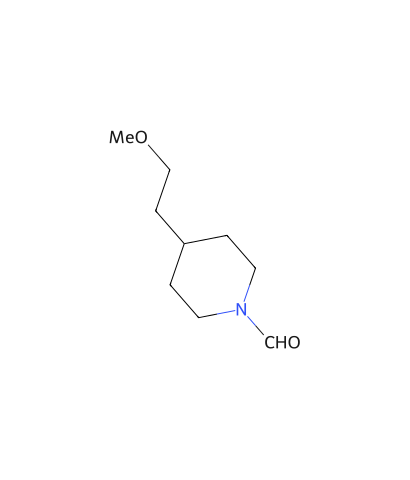 COCCC1CCN(C=O)CC1